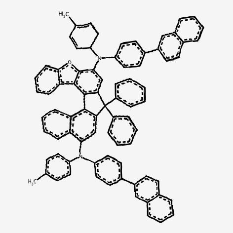 CC1=CCC(N(c2ccc(-c3ccc4ccccc4c3)cc2)c2cc3c(c4c2oc2ccccc24)-c2c(cc(N(c4ccc(C)cc4)c4ccc(-c5ccc6ccccc6c5)cc4)c4ccccc24)C3(c2ccccc2)c2ccccc2)C=C1